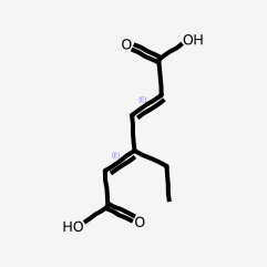 CCC(/C=C/C(=O)O)=C\C(=O)O